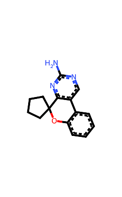 Nc1ncc2c(n1)C1(CCCC1)Oc1ccccc1-2